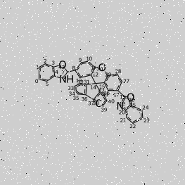 c1ccc2c(c1)NC(c1ccc3c(c1)C1(c4cc(-c5nc6ccccc6o5)ccc4O3)c3ccccc3-c3ccccc31)O2